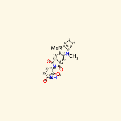 CNC1C2C=CC(C2)[C@@H]1N(C)c1ccc2c(c1)C(=O)N(C1CCC(=O)NC1=O)C2=O